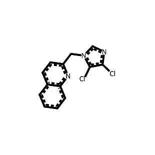 Clc1ncn(Cc2ccc3ccccc3n2)c1Cl